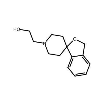 OCCN1CCC2(CC1)OCc1ccccc12